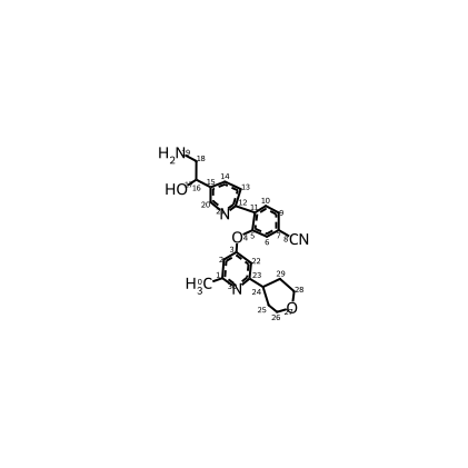 Cc1cc(Oc2cc(C#N)ccc2-c2ccc(C(O)CN)cn2)cc(C2CCOCC2)n1